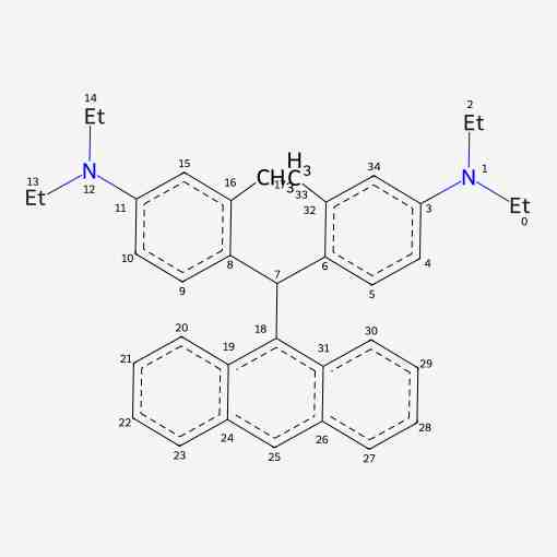 CCN(CC)c1ccc(C(c2ccc(N(CC)CC)cc2C)c2c3ccccc3cc3ccccc23)c(C)c1